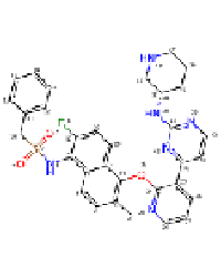 Cc1ccc2c(NS(=O)(=O)Cc3ccccc3)c(F)ccc2c1Oc1ncccc1-c1ccnc(N[C@H]2CCCNC2)n1